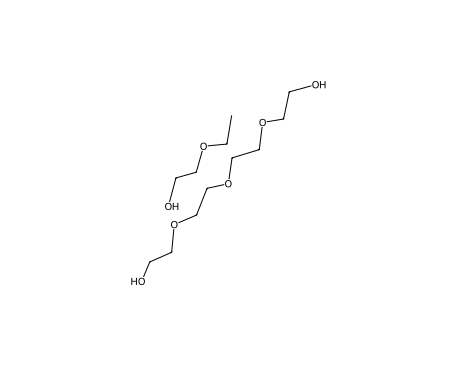 CCOCCO.OCCOCCOCCOCCO